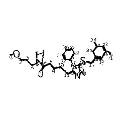 COCCCNC(=O)CCCCc1nnc(SCC2=CC(C)=CC(C)C2)n1-c1ccccc1